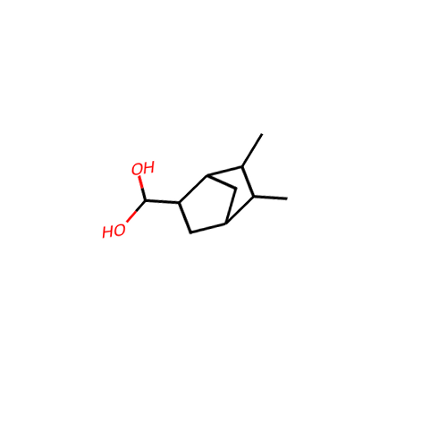 CC1C2CC(C(O)O)C(C2)C1C